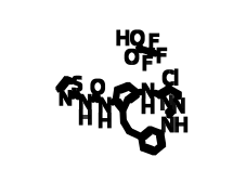 O=C(Nc1nccs1)Nc1ccc2cc1CCc1cccc(c1)Nc1ncc(Cl)c(n1)N2.O=C(O)C(F)(F)F